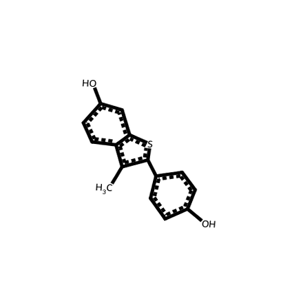 Cc1c(-c2ccc(O)cc2)sc2cc(O)ccc12